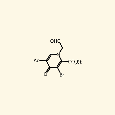 CCOC(=O)c1c(Br)c(=O)c(C(C)=O)cn1CC=O